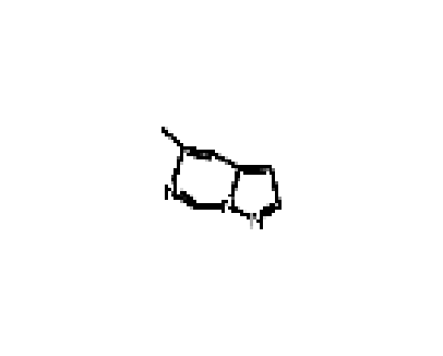 Cc1cc2ccnn2cn1